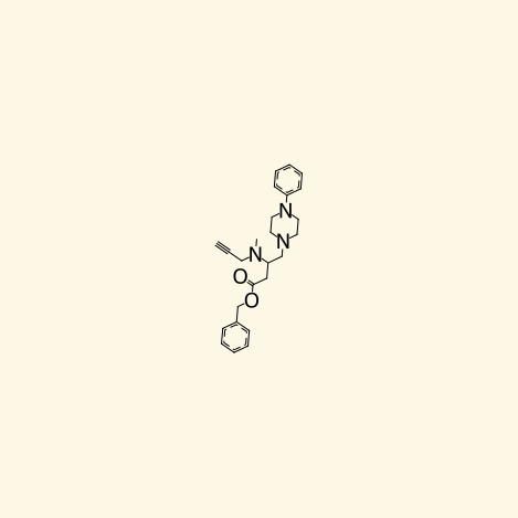 C#CCN(C)C(CC(=O)OCc1ccccc1)CN1CCN(c2ccccc2)CC1